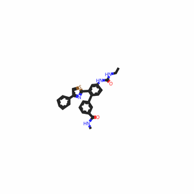 CCNC(=O)Nc1ccc(-c2cccc(C(=O)NC)c2)c(-c2nc(-c3ccccc3)cs2)c1